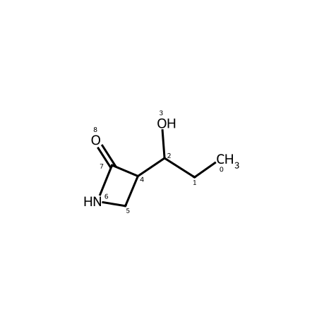 CCC(O)C1CNC1=O